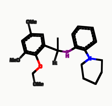 CCC(C)(Pc1ccccc1N1CCCCC1)c1cc(OC)cc(OC)c1OCOC